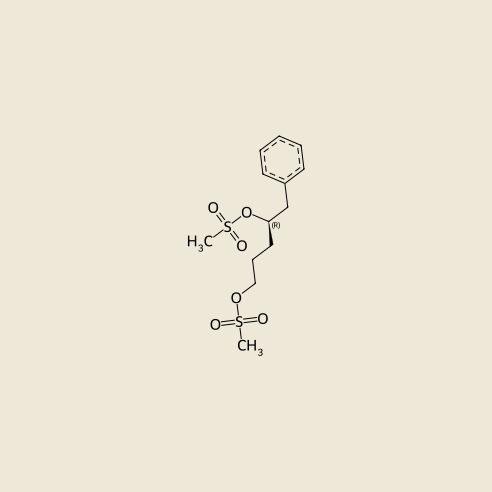 CS(=O)(=O)OCCC[C@H](Cc1ccccc1)OS(C)(=O)=O